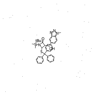 Cn1nnc2cc(C(O)C3C(=O)N([Si](C)(C)C(C)(C)C)C3SC(c3ccccc3)(c3ccccc3)c3ccccc3)ccc21